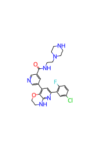 O=C(NCCN1CCNCC1)c1cncc(-c2cc(-c3cc(Cl)ccc3F)nc3c2OCCN3)c1